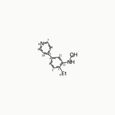 CCc1ccc(-c2ccncc2)cc1NO